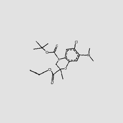 CCOC(=O)C1(C)CN(C(=O)OC(C)(C)C)c2cc(Cl)c(N(C)C)cc2O1